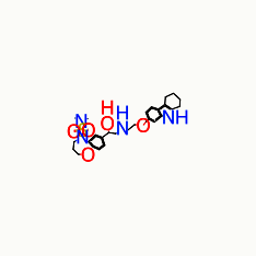 CN(C)S(=O)(=O)N1CCCOc2ccc(C(O)CNCCOc3ccc4c5c([nH]c4c3)CCCC5)cc21